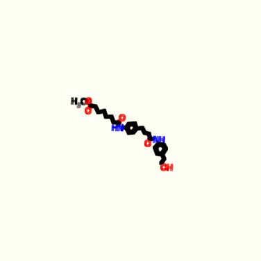 COC(=O)CCCCCCC(=O)Nc1ccc(CCCC(=O)Nc2ccc(CCO)cc2)cc1